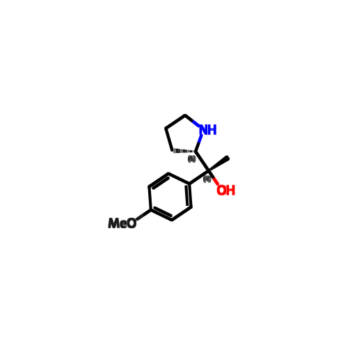 COc1ccc([C@@](C)(O)[C@@H]2CCCN2)cc1